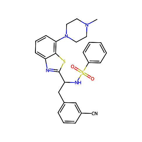 CN1CCN(c2cccc3nc(C(Cc4cccc(C#N)c4)NS(=O)(=O)c4ccccc4)sc23)CC1